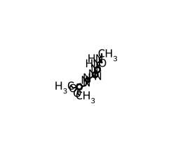 CCNC(=O)Nc1ccc2ncc(-c3cn(Cc4ccc(OC)c(OC)c4)nn3)nc2n1